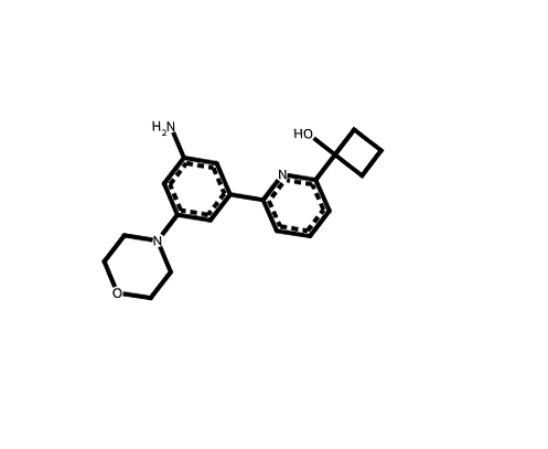 Nc1cc(-c2cccc(C3(O)CCC3)n2)cc(N2CCOCC2)c1